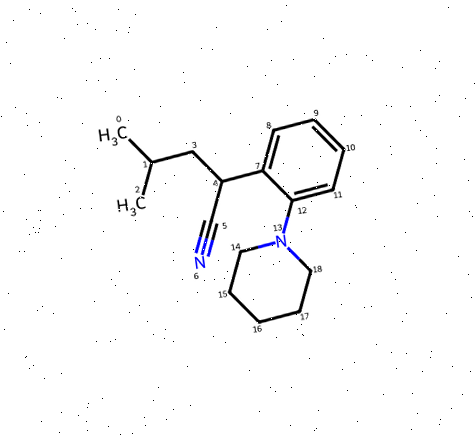 CC(C)CC(C#N)c1ccccc1N1CCCCC1